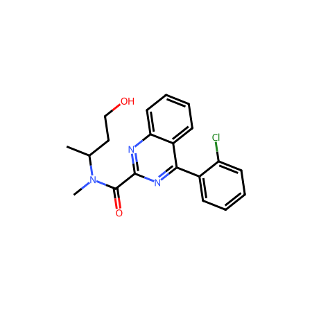 CC(CCO)N(C)C(=O)c1nc(-c2ccccc2Cl)c2ccccc2n1